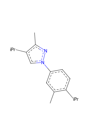 Cc1cc(-n2cc(C(C)C)c(C)n2)ccc1C(C)C